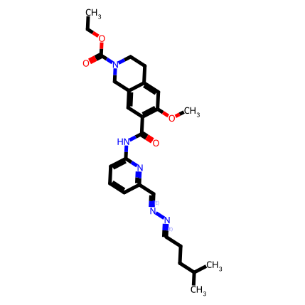 CCOC(=O)N1CCc2cc(OC)c(C(=O)Nc3cccc(/C=N/N=C/CCC(C)C)n3)cc2C1